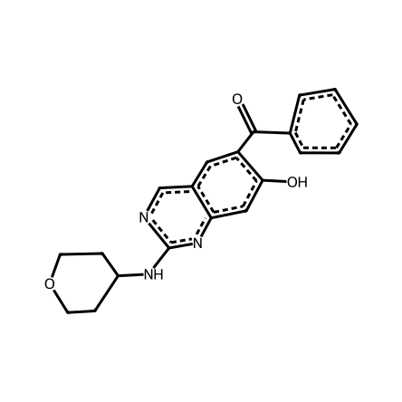 O=C(c1ccccc1)c1cc2cnc(NC3CCOCC3)nc2cc1O